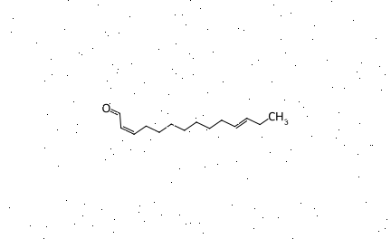 CCC=CCCCCCCC/C=C\C=O